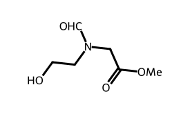 COC(=O)CN(C=O)CCO